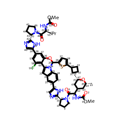 COC(=O)NC(C(=O)N1CCC[C@H]1c1ncc(-c2ccc3c(c2)cc2n3C(c3ccc(C4CCC4)s3)Oc3cc(-c4cnc([C@@H]5CCCN5C(=O)[C@@H](NC(=O)OC)C(C)C)[nH]4)cc(F)c3-2)[nH]1)C1C[C@@H](C)O[C@@H](C)C1